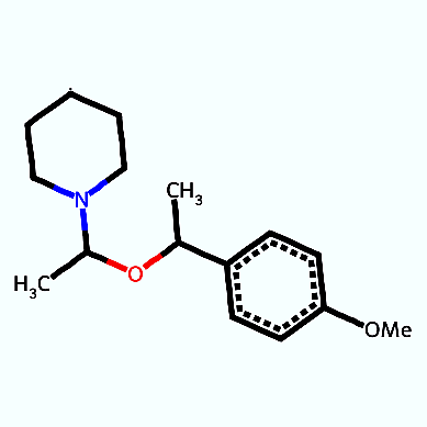 COc1ccc(C(C)OC(C)N2CC[CH]CC2)cc1